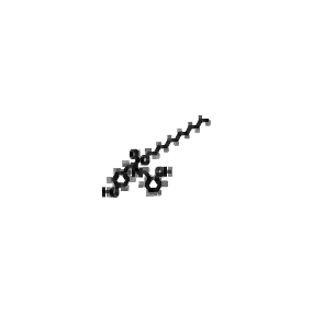 CCCCCCCCCCCCOC(=O)[C@H](Cc1ccc(O)cc1)NCc1ccccc1O